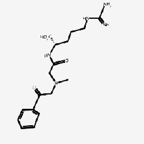 CN(CC(=O)N[C@@H](CCCNC(=N)N)C(=O)O)CC(=O)c1ccccc1